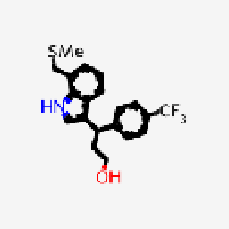 CSCc1cccc2c(C(CCO)c3ccc(C(F)(F)F)cc3)c[nH]c12